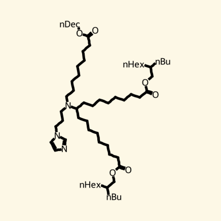 CCCCCCCCCCOC(=O)CCCCCCCCN(CCCn1ccnc1)C(CCCCCCCCC(=O)OCC(CCCC)CCCCCC)CCCCCCCCC(=O)OCC(CCCC)CCCCCC